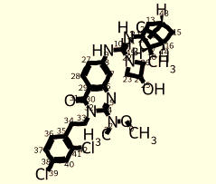 CON(C)c1nc2cc(N/C(=N/C3C[C@@H]4C[C@H]([C@@H]3C)C4(C)C)N3CC(O)C3)ccc2c(=O)n1CCc1ccc(Cl)cc1Cl